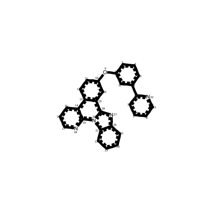 c1ccc(-c2cccc(Oc3ccc4c5cccnc5n5c6ccccc6nc5c4c3)c2)nc1